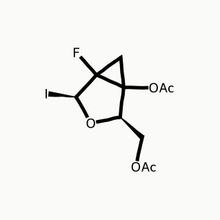 CC(=O)OC[C@H]1O[C@@H](I)C2(F)CC12OC(C)=O